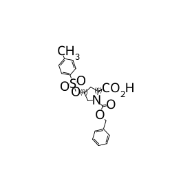 Cc1ccc(S(=O)(=O)O[C@@H]2C[C@@H](C(=O)O)N(C(=O)OCc3ccccc3)C2)cc1